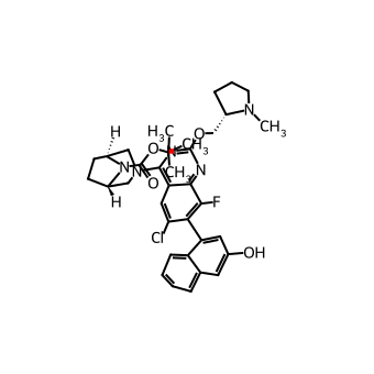 CN1CCC[C@H]1COc1nc(N2C[C@@H]3CC[C@@H](C2)N3C(=O)OC(C)(C)C)c2cc(Cl)c(-c3cc(O)cc4ccccc34)c(F)c2n1